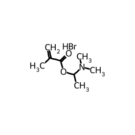 Br.C=C(C)C(=O)OC(C)N(C)C